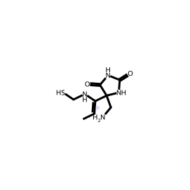 C/C=C(\NCS)C1(CN)NC(=O)NC1=O